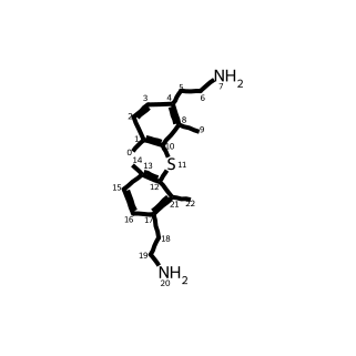 Cc1ccc(CCN)c(C)c1Sc1c(C)ccc(CCN)c1C